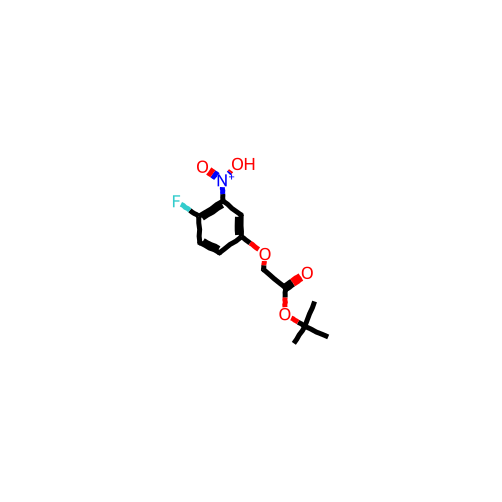 CC(C)(C)OC(=O)COc1ccc(F)c([N+](=O)O)c1